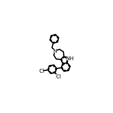 Clc1ccc(-c2cccc3[nH]c4c(c23)CCN(Cc2ccccc2)CC4)c(Cl)c1